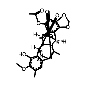 COc1c(C)cc2c(c1O)[C@H]1C3[C@@H]4SCC(=O)C(=O)OC[C@@H](c5c6c(c(C)c(OC(C)=O)c54)OCO6)N3C(C)(C2)CN1C